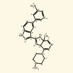 CN1CCN(C2=CN=CC3(C)NC(c4n[nH]c5ccc(-c6cncc(N)c6)cc45)=NC23)CC1